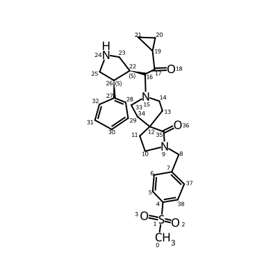 CS(=O)(=O)c1ccc(CN2CCC3(CCN(C(C(=O)C4CC4)[C@@H]4CNC[C@@H]4c4ccccc4)CC3)C2=O)cc1